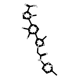 Cc1ccc(NC(=O)Cn2cc(-c3ccc(-c4cnc(C(N)=O)n4C)c(F)c3F)c(C)n2)nn1